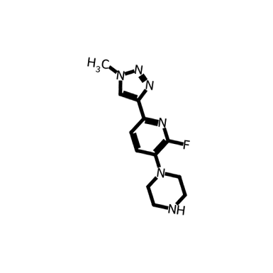 Cn1cc(-c2ccc(N3CCNCC3)c(F)n2)nn1